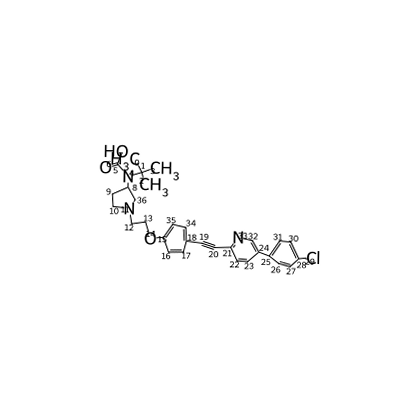 CC(C)(C)N(C(=O)O)C1CCN(CCOc2ccc(C#Cc3ccc(-c4ccc(Cl)cc4)cn3)cc2)C1